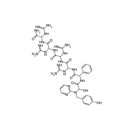 N=C(N)NC(NC(=O)C(NC(=N)N)NC(=O)C(NC(=N)N)NC(=O)C(NC(=N)N)NC(=O)C(NC(=O)C(O)N(Cc1ccc(O)cc1)c1ncccn1)c1ccccc1)C(N)=O